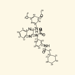 COc1cc(Nc2nc3ccccc3nc2N(c2cccc(NC(=O)CC3CCCCC3)c2)[SH](=O)=O)cc(OC)c1